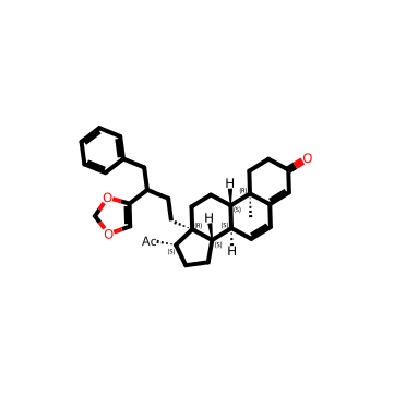 CC(=O)[C@H]1CC[C@H]2[C@@H]3C=CC4=CC(=O)CC[C@]4(C)[C@H]3CC[C@]12CCC(Cc1ccccc1)C1=COCO1